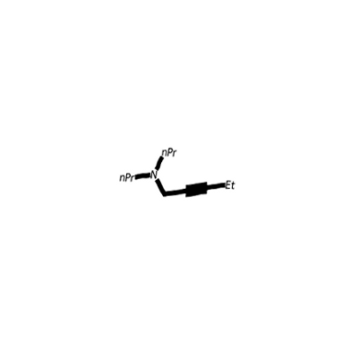 CCC#CCN(CCC)CCC